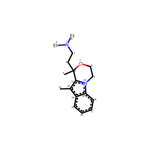 CCN(CC)CCC1(C)OCCn2c1c(C)c1ccccc12